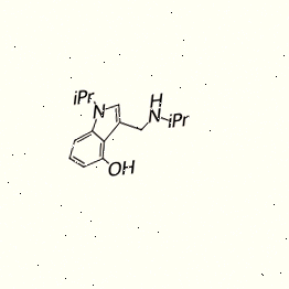 CC(C)NCc1cn(C(C)C)c2cccc(O)c12